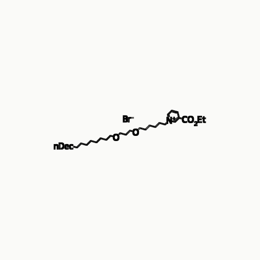 CCCCCCCCCCCCCCCCCCOCCCOCCCCCC[n+]1cccc(C(=O)OCC)c1.[Br-]